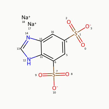 O=S(=O)([O-])c1cc(S(=O)(=O)[O-])c2[nH]cnc2c1.[Na+].[Na+]